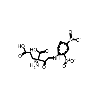 N[C@@](CCC(=O)O)(C(=O)O)C(=O)CNc1ccc([N+](=O)[O-])cc1[N+](=O)[O-]